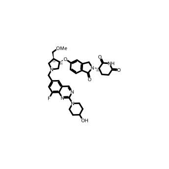 COC[C@@H]1CN(Cc2cc(F)c3nc(N4CCC(O)CC4)ncc3c2)C[C@H]1Oc1ccc2c(c1)CN([C@H]1CCC(=O)NC1=O)C2=O